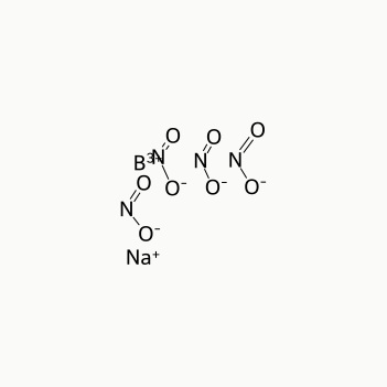 O=N[O-].O=N[O-].O=N[O-].O=N[O-].[B+3].[Na+]